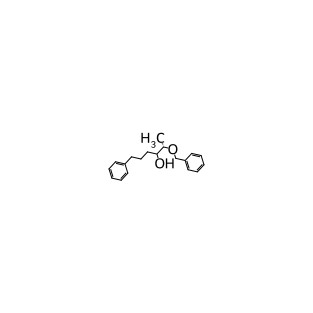 C[C@H](OCc1ccccc1)C(O)CCCc1ccccc1